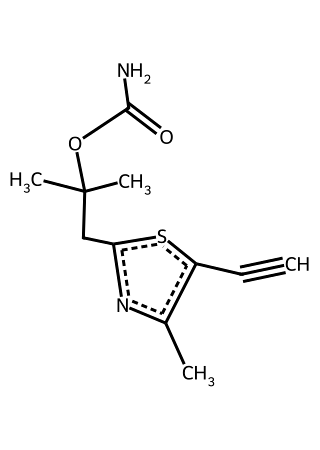 C#Cc1sc(CC(C)(C)OC(N)=O)nc1C